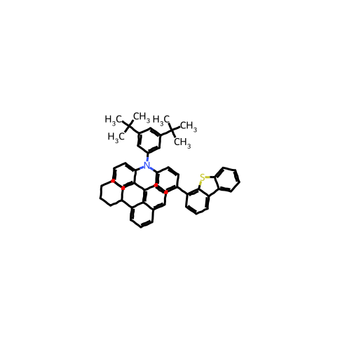 CC(C)(C)c1cc(N(c2ccc(-c3cccc4c3sc3ccccc34)cc2)c2ccccc2-c2cccc3cccc(C4CCCCC4)c23)cc(C(C)(C)C)c1